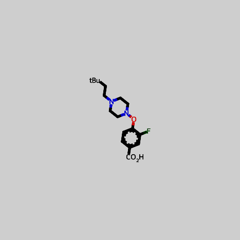 CC(C)(C)CCN1CCN(Oc2ccc(C(=O)O)cc2F)CC1